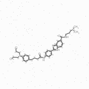 CN(C)CCCNC(=O)c1ccc2[nH]c(-c3ccc(NC(=O)CCCc4ccc(N(CCCl)CCCl)cc4)cc3)nc2c1